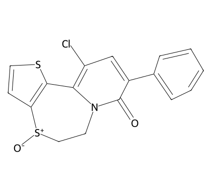 O=c1c(-c2ccccc2)cc(Cl)c2n1CC[S+]([O-])c1ccsc1-2